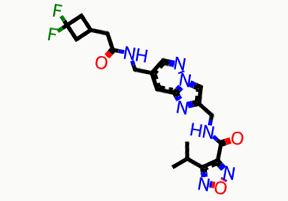 CC(C)c1nonc1C(=O)NCc1cn2ncc(CNC(=O)CC3CC(F)(F)C3)cc2n1